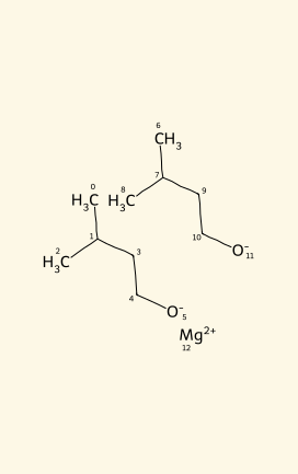 CC(C)CC[O-].CC(C)CC[O-].[Mg+2]